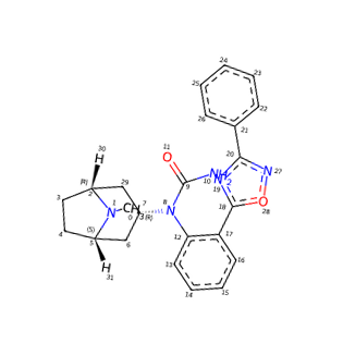 CN1[C@@H]2CC[C@H]1C[C@@H](N(C(N)=O)c1ccccc1-c1nc(-c3ccccc3)no1)C2